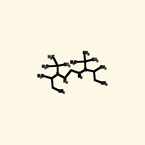 CCC(C)N([SiH2]C[SiH2]N(C(C)CC)C(C)(C)C)C(C)(C)C